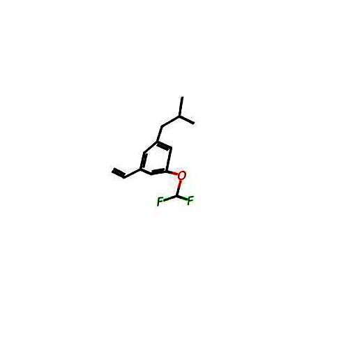 C=Cc1cc(CC(C)C)cc(OC(F)F)c1